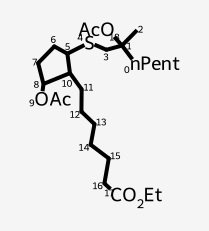 CCCCCC(C)(CSC1CCC(OC(C)=O)C1CCCCCCC(=O)OCC)OC(C)=O